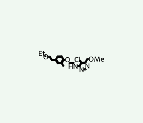 CCOCCc1ccc(OCCNc2ncnc(COC)c2Cl)c(C)c1